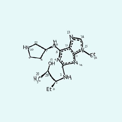 CC[C@H](Nc1nc(N[C@H]2CCNC2)c2ncn(CC)c2n1)[C@@H](C)O